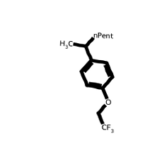 CCCCCC(C)c1ccc(OCC(F)(F)F)cc1